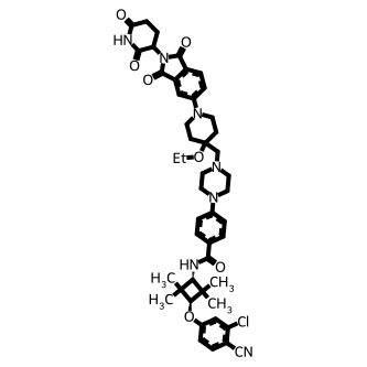 CCOC1(CN2CCN(c3ccc(C(=O)N[C@H]4C(C)(C)[C@H](Oc5ccc(C#N)c(Cl)c5)C4(C)C)cc3)CC2)CCN(c2ccc3c(c2)C(=O)N(C2CCC(=O)NC2=O)C3=O)CC1